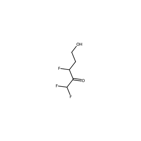 O=C(C(F)F)C(F)CCO